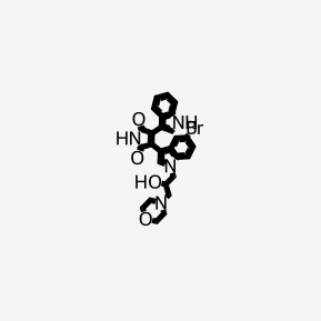 O=C1NC(=O)C(c2cn(CC(O)CN3CCOCC3)c3ccc(Br)cc23)=C1c1c[nH]c2ccccc12